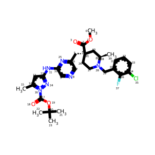 COC(=O)[C@]1(Cc2cncc(Nc3cc(C)n(C(=O)OC(C)(C)C)n3)n2)CCN(Cc2cccc(Cl)c2F)[C@H](C)C1